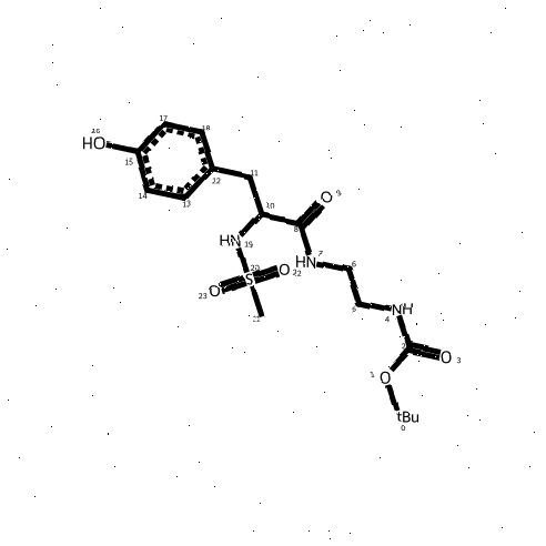 CC(C)(C)OC(=O)NCCNC(=O)C(Cc1ccc(O)cc1)NS(C)(=O)=O